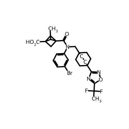 CC1C2(C(=O)O)CC1(C(=O)N(CC13CCC(c4noc(C(C)(F)F)n4)(CC1)CC3)c1cccc(Br)c1)C2